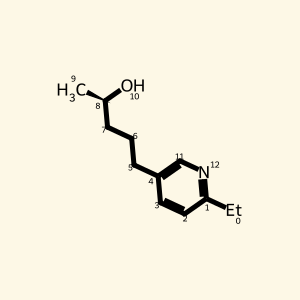 CCc1ccc(CCC[C@@H](C)O)cn1